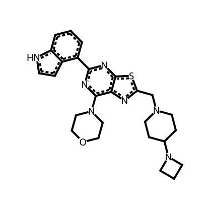 c1cc(-c2nc(N3CCOCC3)c3nc(CN4CCC(N5CCC5)CC4)sc3n2)c2cc[nH]c2c1